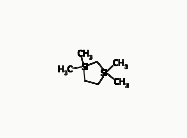 C[Si]1(C)CC[Si](C)(C)C1